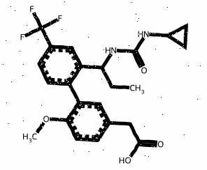 CCC(NC(=O)NC1CC1)c1cc(C(F)(F)F)ccc1-c1cc(CC(=O)O)ccc1OC